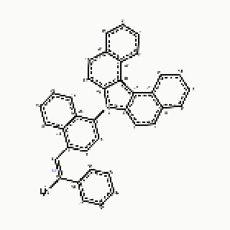 N/C(=C/c1ccc(-n2c3ccc4ccccc4c3c3c4ccccc4ccc32)c2ccccc12)c1ccccc1